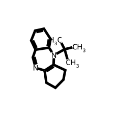 CC(C)(C)N1C2=C(CCCC2)N=Cc2ccccc21